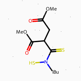 CCC(C)N(S)C(=S)C(CC(=O)OC)C(=O)OC